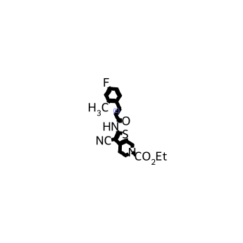 CCOC(=O)N1CCc2c(sc(NC(=O)/C=C/c3ccc(F)cc3C)c2C#N)C1